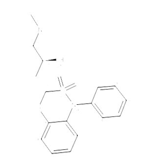 CNC[C@@H](O)C[C@H]1Oc2ccccc2N(c2ccccc2)S1(=O)=O